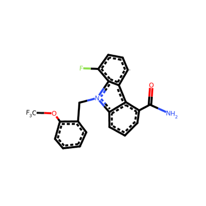 NC(=O)c1cccc2c1c1[c]ccc(F)c1n2Cc1ccccc1OC(F)(F)F